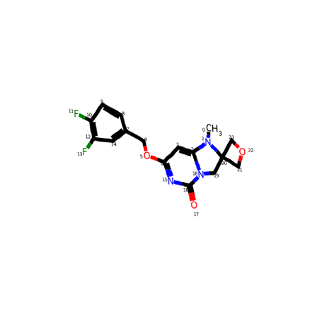 CN1c2cc(OCc3ccc(F)c(F)c3)nc(=O)n2CC12COC2